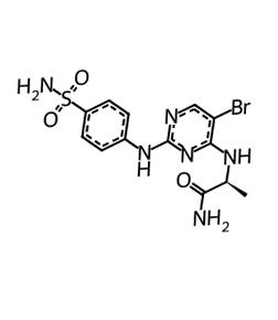 C[C@H](Nc1nc(Nc2ccc(S(N)(=O)=O)cc2)ncc1Br)C(N)=O